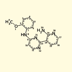 COc1ccccc1Nc1ccnc(-c2cccnc2N)n1